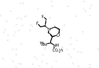 CC(C)(C)C(NC(=O)O)C1CN(C(CF)CF)CCO1